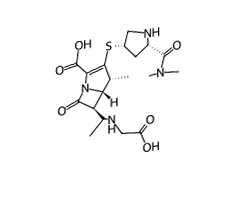 CC(NCC(=O)O)[C@H]1C(=O)N2C(C(=O)O)=C(S[C@@H]3CN[C@H](C(=O)N(C)C)C3)[C@H](C)[C@H]12